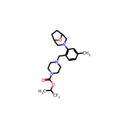 Cc1ccc(CN2CCN(C(=O)OC(C)C(F)(F)F)CC2)c(N2CC3CCC(C2)O3)c1